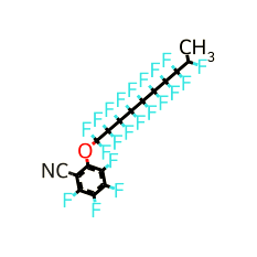 CC(F)C(F)(F)C(F)(F)C(F)(F)C(F)(F)C(F)(F)C(F)(F)C(F)(F)C(F)(F)Oc1c(F)c(F)c(F)c(F)c1C#N